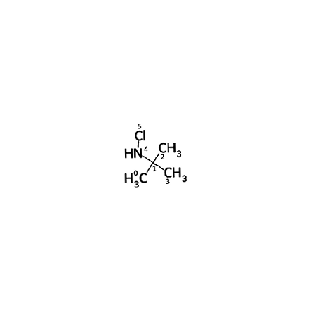 CC(C)(C)NCl